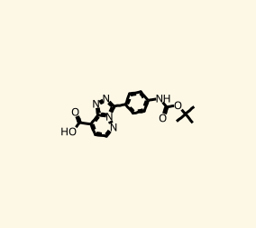 CC(C)(C)OC(=O)Nc1ccc(-c2nnc3c(C(=O)O)ccnn23)cc1